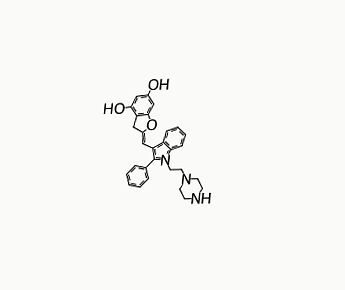 Oc1cc(O)c2c(c1)OC(=Cc1c(-c3ccccc3)n(CCN3CCNCC3)c3ccccc13)C2